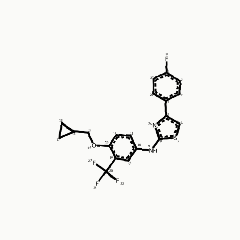 Fc1ccc(-c2csc(Nc3ccc(OCC4CC4)c(C(F)(F)F)c3)n2)cc1